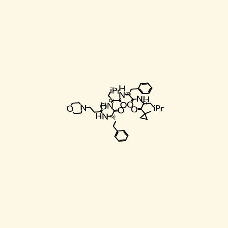 CC(C)C[C@H](NC(=O)[C@H](CCc1ccccc1)NC(=O)CCN1CCOCC1)C(=O)N[C@@H](Cc1ccccc1)C(=O)N[C@@H](CC(C)C)C(=O)C1(C)CC1